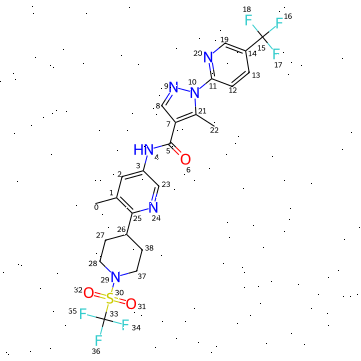 Cc1cc(NC(=O)c2cnn(-c3ccc(C(F)(F)F)cn3)c2C)cnc1C1CCN(S(=O)(=O)C(F)(F)F)CC1